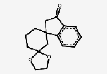 O=C1CC2(CCCC3(C2)OCCO3)c2ccccc21